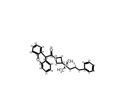 C[N+](C)(CCCc1ccccc1)C1CN(C(=O)C2c3ccccc3Oc3ccccc32)C1